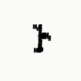 CCCCCCCCCC(CCCCCCCCCCC=CCCCC(=O)O)CCN(C)C